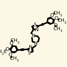 COc1cc(C#Cc2nc(CN3CCCN(Cc4csc(C#Cc5cc(OC)c(OC)c(OC)c5)n4)CC3)cs2)cc(OC)c1OC